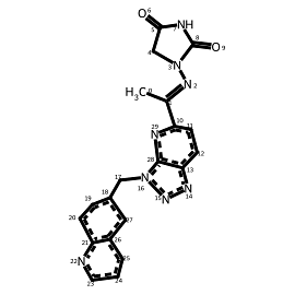 C/C(=N\N1CC(=O)NC1=O)c1ccc2nnn(Cc3ccc4ncccc4c3)c2n1